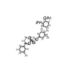 CC(=O)Oc1ccc(Cc2c(C)cc(OC[P@@]3(=O)OCC[C@@H](c4cccc(C)c4)O3)cc2C)cc1C(C)C